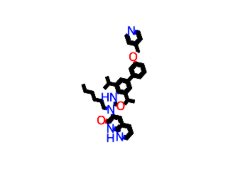 CCCCCCN(C(=O)Nc1c(C(C)C)cc(-c2cccc(OCc3ccncc3)c2)cc1C(C)C)c1cc2cccnc2[nH]c1=O